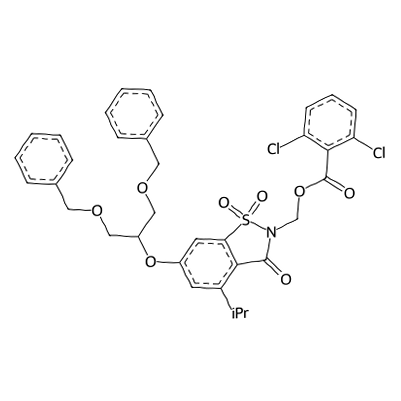 CC(C)c1cc(OC(COCc2ccccc2)COCc2ccccc2)cc2c1C(=O)N(COC(=O)c1c(Cl)cccc1Cl)S2(=O)=O